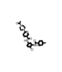 CC(=O)N1CCN(c2ccc(C(=O)Nc3ccc(Cl)c(NC(=O)c4ccc(C)cc4)c3)cn2)CC1